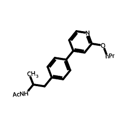 CCCOc1cc(-c2ccc(CC(C)NC(C)=O)cc2)ccn1